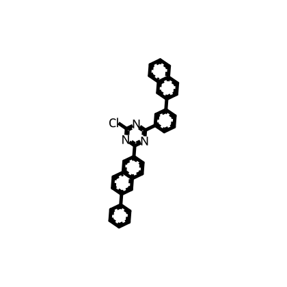 Clc1nc(-c2cccc(-c3ccc4ccccc4c3)c2)nc(-c2ccc3cc(-c4ccccc4)ccc3c2)n1